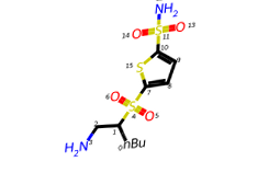 CCCCC(CN)S(=O)(=O)c1ccc(S(N)(=O)=O)s1